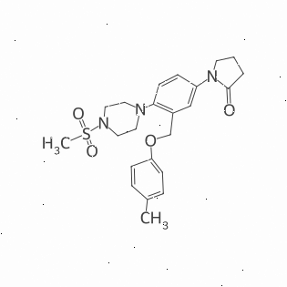 Cc1ccc(OCc2cc(N3CCCC3=O)ccc2N2CCN(S(C)(=O)=O)CC2)cc1